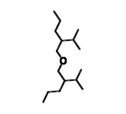 CCCC(COCC(CCC)C(C)C)C(C)C